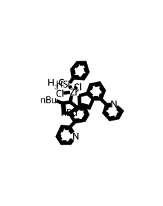 CCCCC1=Cc2c(-c3ccccn3)cccc2[CH]1[Zr]([Cl])([Cl])([CH]1C(CCCC)=Cc2c(-c3ccccn3)cccc21)[SiH](C)c1ccccc1